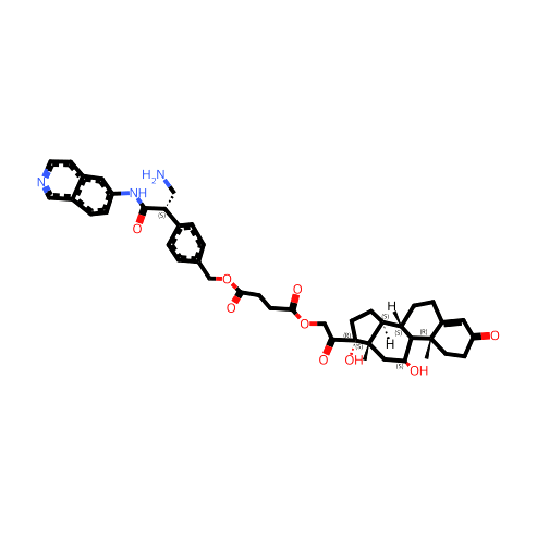 C[C@]12CCC(=O)C=C1CC[C@@H]1C2[C@@H](O)C[C@@]2(C)[C@H]1CC[C@]2(O)C(=O)COC(=O)CCC(=O)OCc1ccc([C@@H](CN)C(=O)Nc2ccc3cnccc3c2)cc1